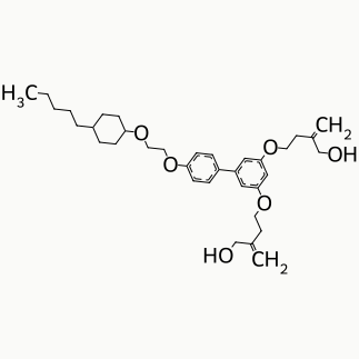 C=C(CO)CCOc1cc(OCCC(=C)CO)cc(-c2ccc(OCCOC3CCC(CCCCC)CC3)cc2)c1